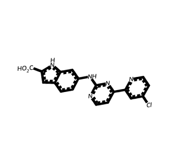 O=C(O)c1cc2ccc(Nc3nccc(-c4cc(Cl)ccn4)n3)cc2[nH]1